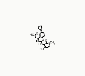 Cn1ccc(O)c(NC(=O)N[C@@H](CC(=O)O)c2cccc(-n3cccc3)c2)c1=O